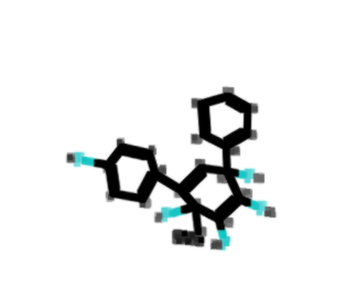 CSC1(F)C(c2ccc(F)cc2)=CC(F)(c2ccccc2)C(F)=C1F